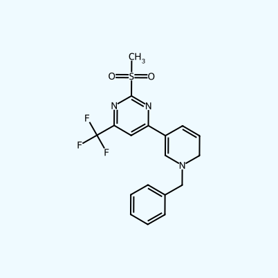 CS(=O)(=O)c1nc(C2=CN(Cc3ccccc3)CC=C2)cc(C(F)(F)F)n1